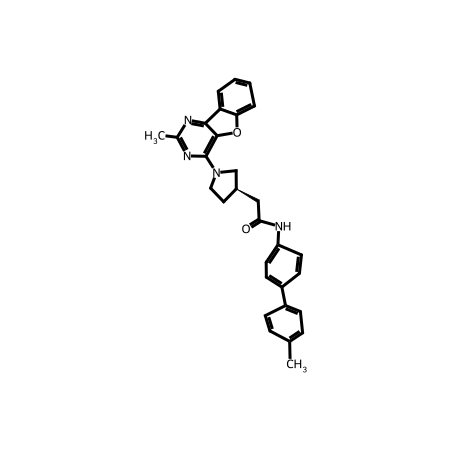 Cc1ccc(-c2ccc(NC(=O)C[C@H]3CCN(c4nc(C)nc5c4oc4ccccc45)C3)cc2)cc1